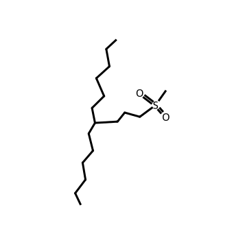 CCCCCCC(CCCCCC)CCCS(C)(=O)=O